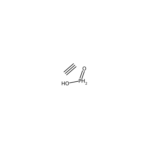 C#C.O=[PH2]O